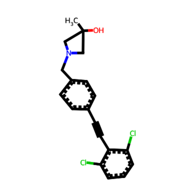 CC1(O)CN(Cc2ccc(C#Cc3c(Cl)cccc3Cl)cc2)C1